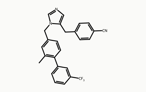 Cc1cc(Cn2cncc2Cc2ccc(C#N)cc2)ccc1-c1cccc(C(F)(F)F)c1